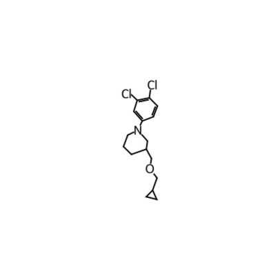 Clc1ccc(N2CCCC(COCC3CC3)C2)cc1Cl